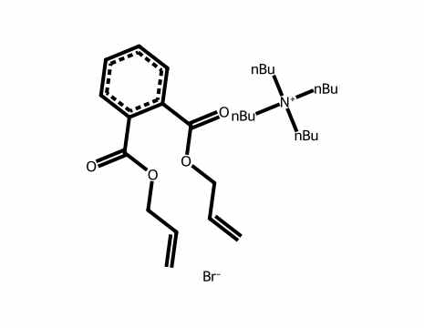 C=CCOC(=O)c1ccccc1C(=O)OCC=C.CCCC[N+](CCCC)(CCCC)CCCC.[Br-]